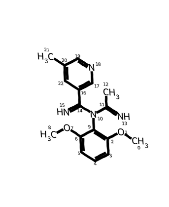 COc1cccc(OC)c1N(C(C)=N)C(=N)c1cncc(C)c1